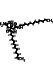 CCCCCCCCCCCCNC(=O)CC(O)(CC(N)=O)C(=O)NCCCCCCCCCCCC